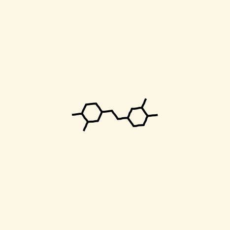 CC1CCC(CCC2CCC(C)C(C)C2)CC1C